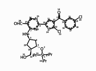 CC(C)[Si](O[C@H]1C[C@H](Nc2nc(-c3cc(C(=O)c4cccc(Cl)c4)c(Cl)s3)ncc2C=O)C[C@@H]1CO)(C(C)C)C(C)C